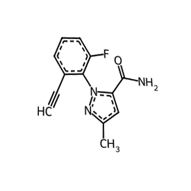 C#Cc1cccc(F)c1-n1nc(C)cc1C(N)=O